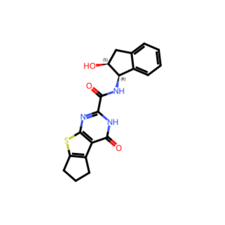 O=C(N[C@@H]1c2ccccc2C[C@@H]1O)c1nc2sc3c(c2c(=O)[nH]1)CCC3